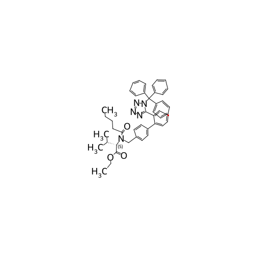 CCCCC(=O)N(Cc1ccc(-c2ccccc2-c2nnnn2C(c2ccccc2)(c2ccccc2)c2ccccc2)cc1)[C@H](C(=O)OCC)C(C)C